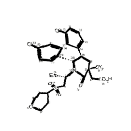 CC[C@@H](CS(=O)(=O)C1CCOCC1)N1C(=O)[C@@](C)(CC(=O)O)C[C@H](c2cccc(Cl)c2)[C@H]1c1ccc(Cl)cc1